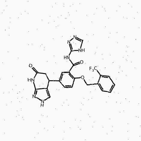 O=C1CC(c2ccc(OCc3ccccc3C(F)(F)F)c(C(=O)Nc3nnc[nH]3)c2)c2c[nH]nc2N1